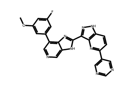 COc1cc(F)cc(-c2cncc3[nH]c(-c4n[nH]c5ccc(-c6cncnc6)nc45)nc23)c1